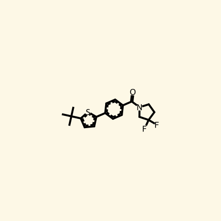 CC(C)(C)c1ccc(-c2ccc(C(=O)N3CCC(F)(F)C3)cc2)s1